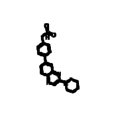 O=[SH](=O)Cc1ccc(-c2ccc3ncc(N4CCCCC4)nc3c2)cc1